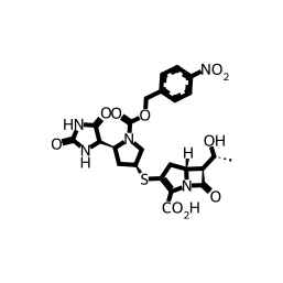 C[C@@H](O)[C@H]1C(=O)N2C(C(=O)O)=C(S[C@H]3C[C@@H](C4NC(=O)NC4=O)N(C(=O)OCc4ccc([N+](=O)[O-])cc4)C3)C[C@H]12